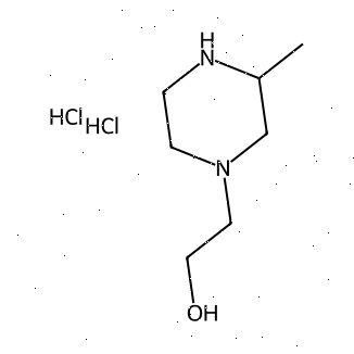 CC1CN(CCO)CCN1.Cl.Cl